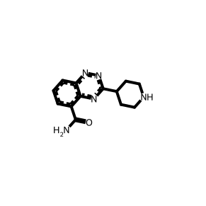 NC(=O)c1cccc2nnc(C3CCNCC3)nc12